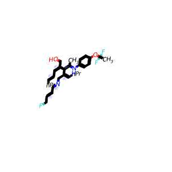 CCC/C=C/C=C(CO)\C(C(=C/CCC)\C/N=C/C=C/CF)=C(/C)Nc1ccc(OC(C)(F)F)cc1